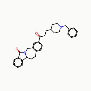 O=C(CCC1CCN(Cc2ccccc2)CC1)c1ccc2c(c1)CN1C(=O)c3ccccc3C1CC2